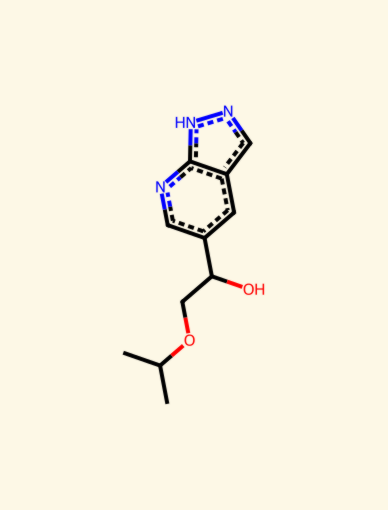 CC(C)OCC(O)c1cnc2[nH]ncc2c1